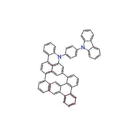 c1ccc(-c2ccc(-c3ccccc3N(c3ccc(-n4c5ccccc5c5ccccc54)cc3)c3cccc(-c4cccc(-c5ccccc5)c4-c4ccccc4-c4ccccc4)c3)cc2)cc1